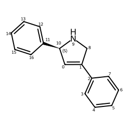 C1=C(c2ccccc2)CN[C@@H]1c1ccccc1